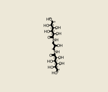 O=C(NCC(O)CNC(=O)[C@H](O)[C@@H](O)[C@H](O)[C@H](O)CO)[C@H](O)[C@@H](O)[C@H](O)[C@H](O)CO